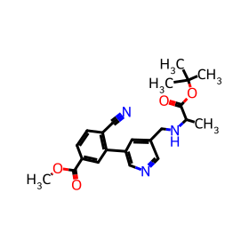 COC(=O)c1ccc(C#N)c(-c2cncc(CNC(C)C(=O)OC(C)(C)C)c2)c1